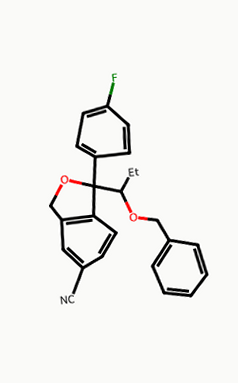 CCC(OCc1ccccc1)C1(c2ccc(F)cc2)OCc2cc(C#N)ccc21